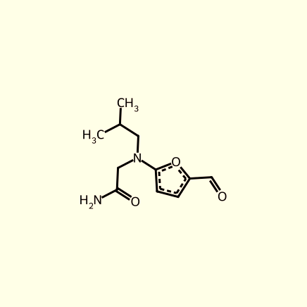 CC(C)CN(CC(N)=O)c1ccc(C=O)o1